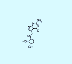 NC1=NC(=O)C2=C(CN[C@H]3C=C[C@H](O)[C@@H]3O)C=NC2=N1